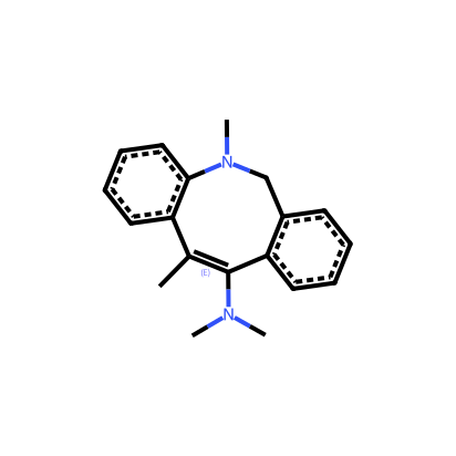 C/C1=C(\N(C)C)c2ccccc2CN(C)c2ccccc21